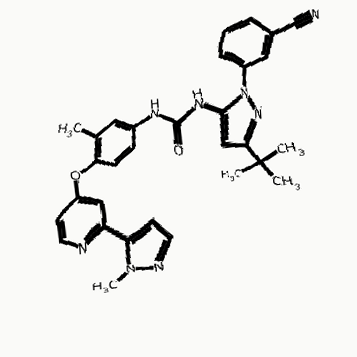 Cc1cc(NC(=O)Nc2cc(C(C)(C)C)nn2-c2cccc(C#N)c2)ccc1Oc1ccnc(-c2ccnn2C)c1